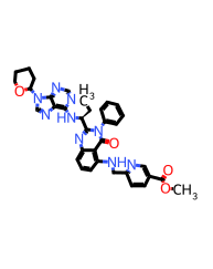 CC[C@H](Nc1ncnc2c1ncn2C1CCCCO1)c1nc2cccc(NCc3ccc(C(=O)OC)cn3)c2c(=O)n1-c1ccccc1